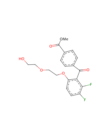 COC(=O)c1ccc(C(=O)c2c(OCCOCCO)ccc(F)c2F)cc1